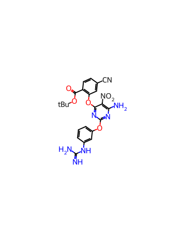 CC(C)(C)OC(=O)c1ccc(C#N)cc1Oc1nc(Oc2cccc(NC(=N)N)c2)nc(N)c1[N+](=O)[O-]